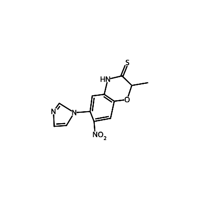 CC1Oc2cc([N+](=O)[O-])c(-n3ccnc3)cc2NC1=S